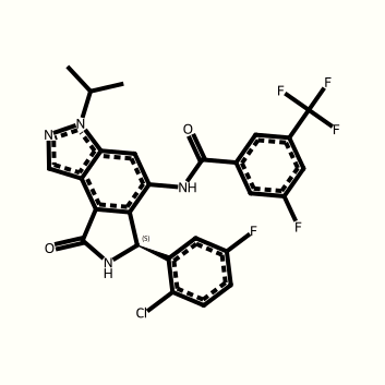 CC(C)n1ncc2c3c(c(NC(=O)c4cc(F)cc(C(F)(F)F)c4)cc21)[C@@H](c1cc(F)ccc1Cl)NC3=O